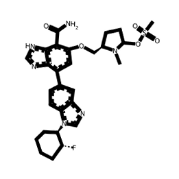 CN1C(OS(C)(=O)=O)CC[C@@H]1COc1cc(-c2ccc3c(c2)ncn3[C@@H]2CCCC[C@H]2F)c2nc[nH]c2c1C(N)=O